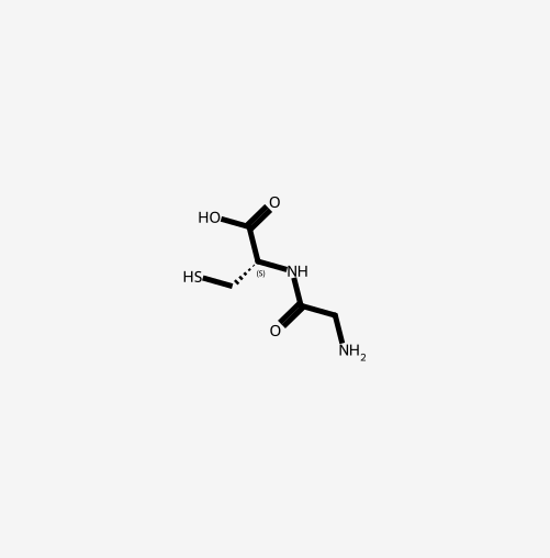 NCC(=O)N[C@H](CS)C(=O)O